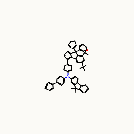 CC(C)(C)c1cc2c(c(C(C)(C)C)c1)C(c1ccccc1)(c1ccccc1)c1cccc(-c3ccc(N(c4ccc(-c5ccccc5)cc4)c4ccc5c(c4)C(C)(C)c4ccccc4-5)cc3)c1-2